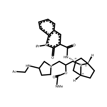 CNC(=O)OC(CN1CCC(NCC(C)=O)C1)CN1[C@@H]2CC[C@H]1C[C@@H](NC(=O)c1cc3ccccc3n(C(C)C)c1=O)C2